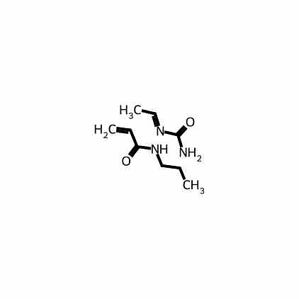 C=CC(=O)NCCC.CC=NC(N)=O